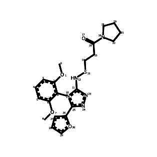 COc1cccc(OC)c1-n1c(NSCCC(=O)N2CCCC2)nnc1-c1ccco1